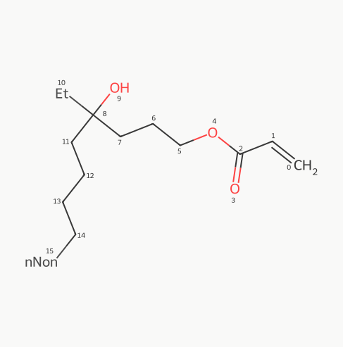 C=CC(=O)OCCCC(O)(CC)CCCCCCCCCCCCC